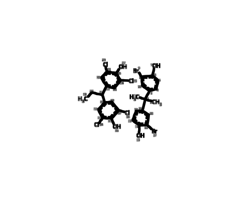 CC(C)(c1ccc(O)c(Br)c1)c1ccc(O)c(Br)c1.CCC(c1cc(Cl)c(O)c(Cl)c1)c1cc(Cl)c(O)c(Cl)c1